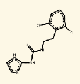 S=C(NCCc1c(Cl)cccc1Cl)Nc1ncc[nH]1